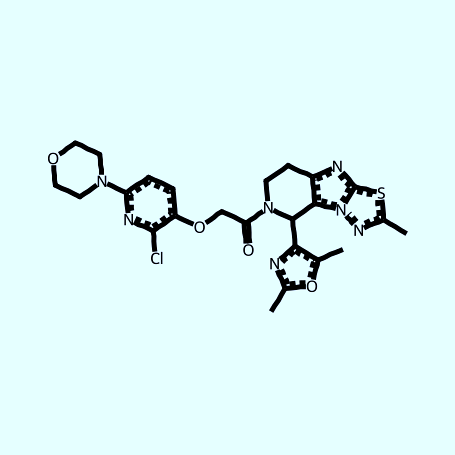 Cc1nc(C2c3c(nc4sc(C)nn34)CCN2C(=O)COc2ccc(N3CCOCC3)nc2Cl)c(C)o1